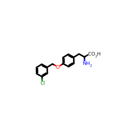 NC(Cc1ccc(OCc2cccc(Cl)c2)cc1)C(=O)O